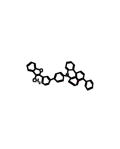 Cc1c(-c2cccc(-c3ccc(N(c4ccccc4)c4ccccc4-c4ccc(-c5ccccc5)cc4)cc3)c2)oc2ccccc12